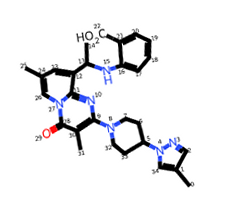 Cc1cnn(C2CCN(c3nc4c(C(C)Nc5ccccc5C(=O)O)cc(C)cn4c(=O)c3C)CC2)c1